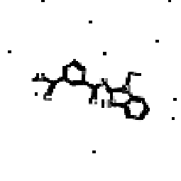 CCn1/c(=N/C(=O)c2cccc(C(=O)OC)c2)[nH]c2ccccc21